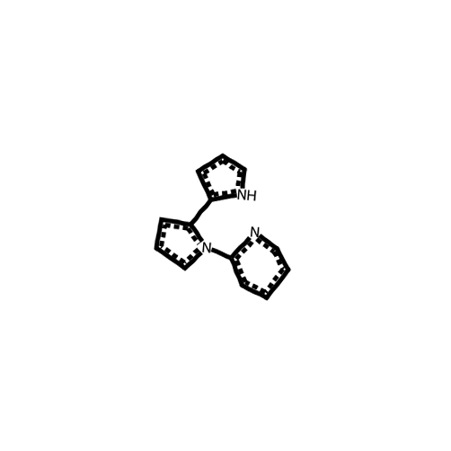 c1ccc(-n2cccc2-c2ccc[nH]2)nc1